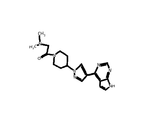 CN(C)CC(=O)N1CCC(n2cc(-c3ncnc4[nH]ccc34)cn2)CC1